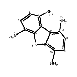 Nc1ccc(N)c2c1sc1c(N)ccc(N)c12